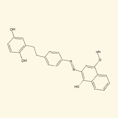 CCCOc1cc(N=Nc2ccc(CCc3cc(O)ccc3O)cc2)c(O)c2ccccc12